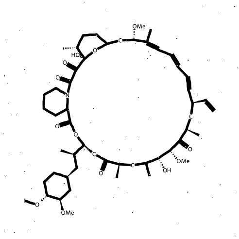 C=C[C@@H]1/C=C/C=C/C=C(\C)[C@@H](OC)CC2CC[C@@H](C)[C@@](O)(O2)C(=O)C(=O)N2CCCCC2C(=O)O[C@H]([C@H](C)C[C@@H]2CC[C@@H](OI)[C@H](OC)C2)CC(=O)[C@H](C)CC(C)[C@@H](O)[C@@H](OC)C(=O)[C@H](C)C1